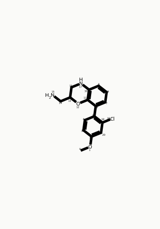 COc1ccc(-c2cccc3c2OC(CN)CN3)c(Cl)c1